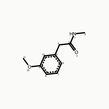 CNC(=O)Cc1cccc(OC)c1